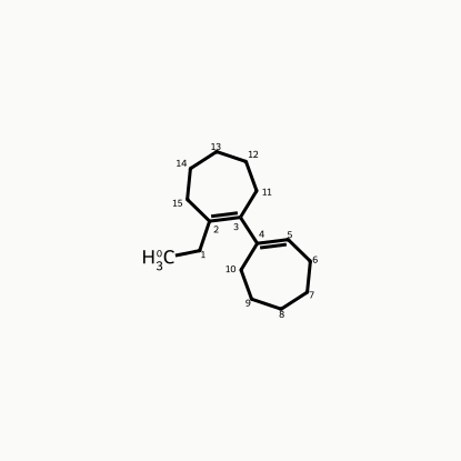 CCC1=C(C2=CCCCCC2)CCCCC1